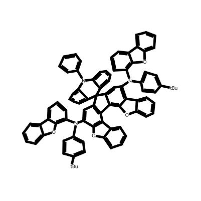 CC(C)(C)c1ccc(N(c2cccc3c2oc2ccccc23)c2cc3c(c4c2oc2ccccc24)-c2c(cc(N(c4ccc(C(C)(C)C)cc4)c4cccc5c4oc4ccccc45)c4c2oc2ccccc24)C32c3ccccc3N(c3ccccc3)c3ccccc32)cc1